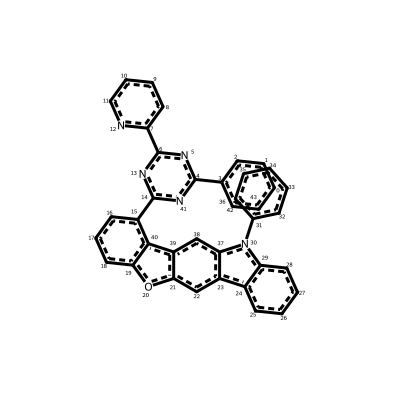 c1ccc(-c2nc(-c3ccccn3)nc(-c3cccc4oc5cc6c7ccccc7n(-c7ccccc7)c6cc5c34)n2)cc1